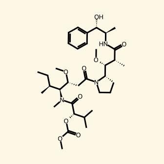 CC[C@H](C)[C@@H]([C@@H](CC(=O)N1CCC[C@H]1[C@H](OC)[C@@H](C)C(=O)N[C@H](C)[C@@H](O)c1ccccc1)OC)N(C)C(=O)[C@@H](OC(=O)OC)C(C)C